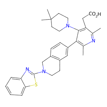 Cc1nc(C)c(-c2ccc3c(c2)CCN(c2nc4ccccc4s2)C3)c(N2CCC(C)(C)CC2)c1CC(=O)O